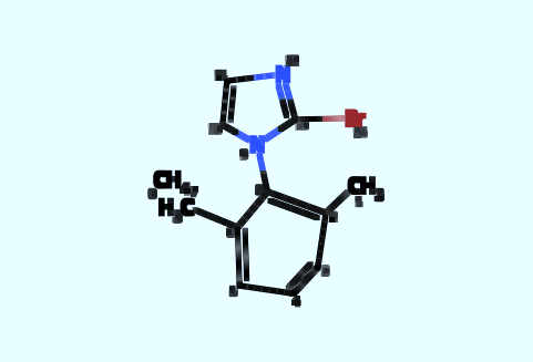 C.Cc1cccc(C)c1-n1ccnc1Br